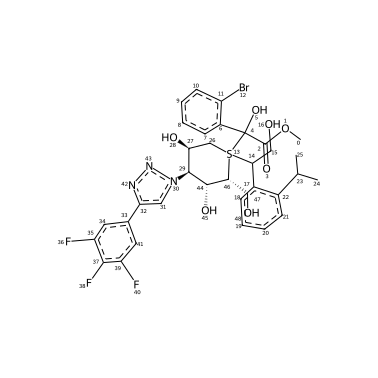 COC(=O)C(O)(c1ccccc1Br)S1(C(CO)c2ccccc2C(C)C)C[C@H](O)[C@H](n2cc(-c3cc(F)c(F)c(F)c3)nn2)[C@@H](O)[C@H]1CO